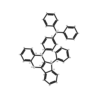 c1ccc(N(c2ccccc2)c2ccc(N3c4ccccc4Oc4c3n(-c3ccccc3)c3ccccc43)cc2)cc1